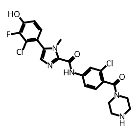 Cn1c(-c2ccc(O)c(F)c2Cl)cnc1C(=O)Nc1ccc(C(=O)N2CCNCC2)c(Cl)c1